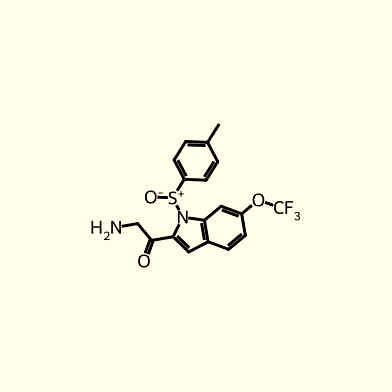 Cc1ccc([S+]([O-])n2c(C(=O)CN)cc3ccc(OC(F)(F)F)cc32)cc1